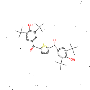 CC(C)(C)c1cc(C(=O)c2ccc(C(=O)c3cc(C(C)(C)C)c(O)c(C(C)(C)C)c3)s2)cc(C(C)(C)C)c1O